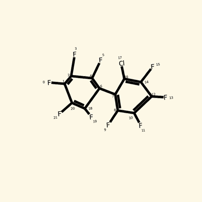 Fc1c(F)c(F)c(-c2c(F)c(F)c(F)c(F)c2Cl)c(F)c1F